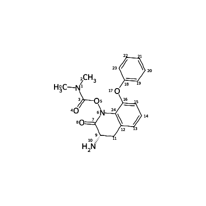 CN(C)C(=O)ON1C(=O)[C@@H](N)Cc2cccc(Oc3ccccc3)c21